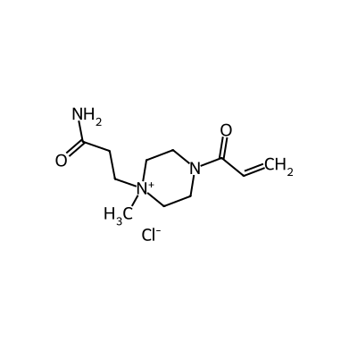 C=CC(=O)N1CC[N+](C)(CCC(N)=O)CC1.[Cl-]